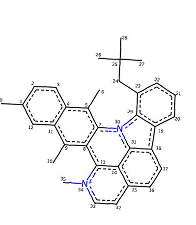 Cc1ccc2c(C)c3c(c(C)c2c1)c1c2c(ccc4c5cccc(CC(C)(C)C)c5n3c42)cc[n+]1C